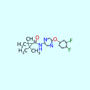 CC1(C)C(C(=O)Nc2cnc(Oc3ccc(F)c(F)c3)cn2)C1(C)C